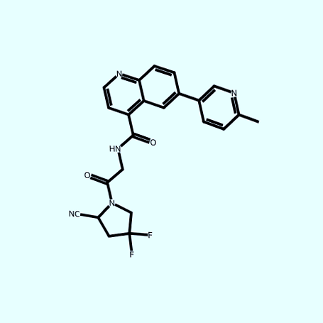 Cc1ccc(-c2ccc3nccc(C(=O)NCC(=O)N4CC(F)(F)CC4C#N)c3c2)cn1